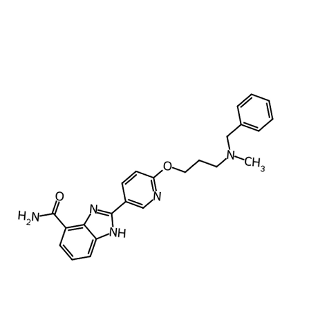 CN(CCCOc1ccc(-c2nc3c(C(N)=O)cccc3[nH]2)cn1)Cc1ccccc1